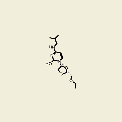 CCOC[C@H]1O[C@@H](N2C=CC(NCC(C)C)=NC2O)CS1